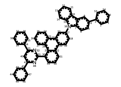 c1ccc(-c2ccc3c(c2)c2ccccc2n3-c2ccc3c(c2)c2ccccc2c2c(-c4nc(-c5ccccc5)cc(-c5ccccc5)n4)cccc32)cc1